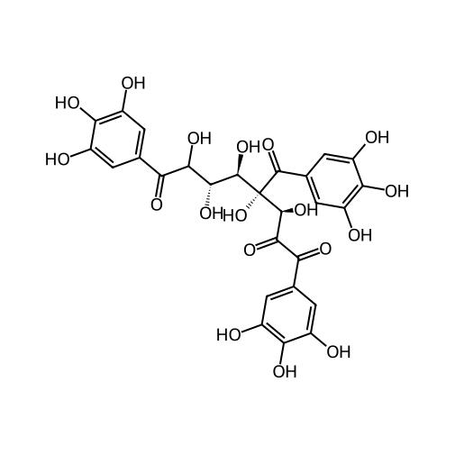 O=C(C(=O)[C@H](O)[C@](O)(C(=O)c1cc(O)c(O)c(O)c1)[C@H](O)[C@H](O)C(O)C(=O)c1cc(O)c(O)c(O)c1)c1cc(O)c(O)c(O)c1